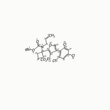 C=CCN(C(=O)OC(C)(C)C)C1(c2onc(-c3c(Cl)cc(Cl)cc3Cl)c2C(=O)OCC)CCC1